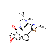 C=C(c1nc(C)sc1-c1ccccc1)N(C)C(CNC(=O)c1cccc2occc12)C1CC1